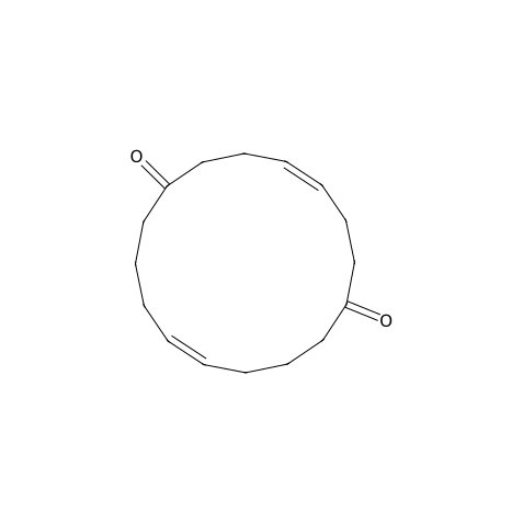 O=C1CCC=CCCC(=O)CCCC=CCCC1